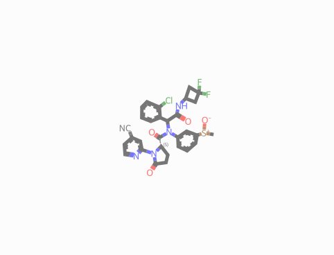 C[S+]([O-])c1cccc(N(C(=O)[C@@H]2CCC(=O)N2c2cc(C#N)ccn2)C(C(=O)NC2CC(F)(F)C2)c2ccccc2Cl)c1